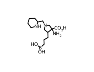 NC1(C(=O)O)CN(CC2CCCCN2)CC1CCCB(O)O